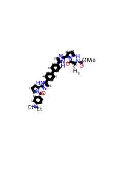 CCN(CC)[C@H]1CC[C@@H](C(=O)N2CCC[C@H]2c2ncc(-c3ccc(-c4ccc(-c5cnc(C6CCCN6C(=O)[C@H](C)NC(=O)OC)[nH]5)cc4)cc3)[nH]2)CC1